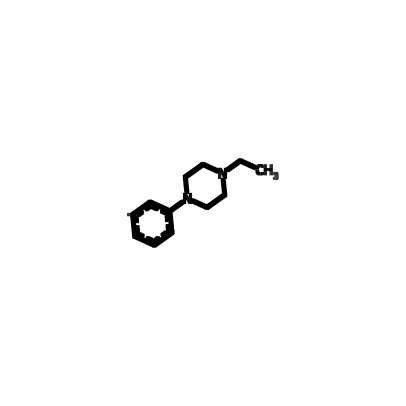 CCN1CCN(c2c[c]ccc2)CC1